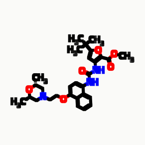 COC(=O)c1oc(C(C)(C)C)cc1NC(=O)Nc1ccc(OCCN2C[C@@H](C)O[C@H](C)C2)c2ccccc12